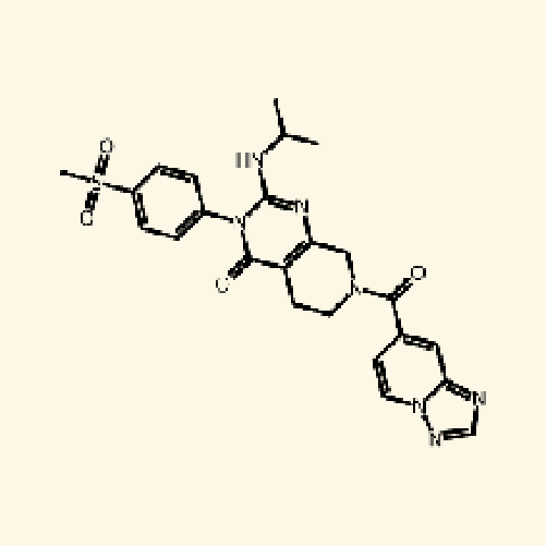 CC(C)Nc1nc2c(c(=O)n1-c1ccc(S(C)(=O)=O)cc1)CCN(C(=O)c1ccn3ncnc3c1)C2